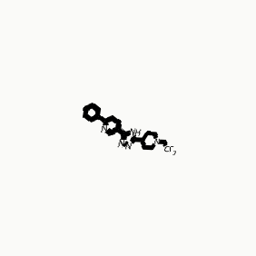 FC(F)(F)CN1CCC(c2nnc(-c3ccc(-c4ccccc4)nc3)[nH]2)CC1